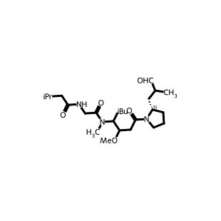 CCC(C)C(C(CC(=O)N1CCC[C@H]1CC(C)C=O)OC)N(C)C(=O)CNC(=O)CC(C)C